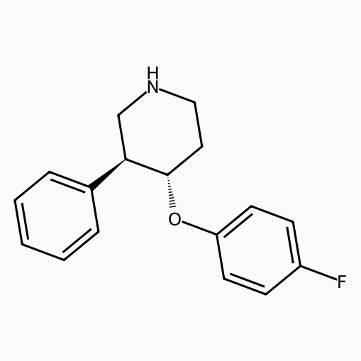 Fc1ccc(O[C@H]2CCNC[C@@H]2c2ccccc2)cc1